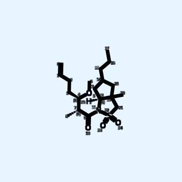 C=CCC[C@@H](OC)[C@@H](C)C(=O)N1[C@H]2CC(CCC)CC2(C)CS1(=O)=O